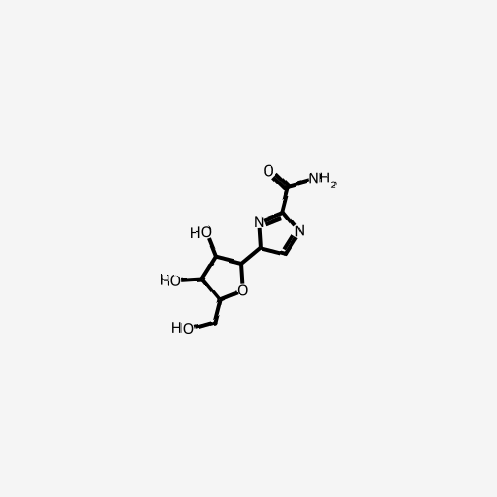 NC(=O)C1=NC(C2OC(CO)C(O)C2O)C=N1